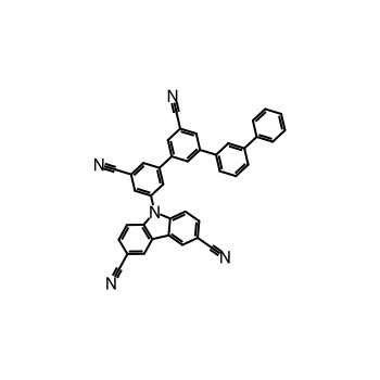 N#Cc1cc(-c2cccc(-c3ccccc3)c2)cc(-c2cc(C#N)cc(-n3c4ccc(C#N)cc4c4cc(C#N)ccc43)c2)c1